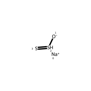 [Na+].[O-][SH]=S